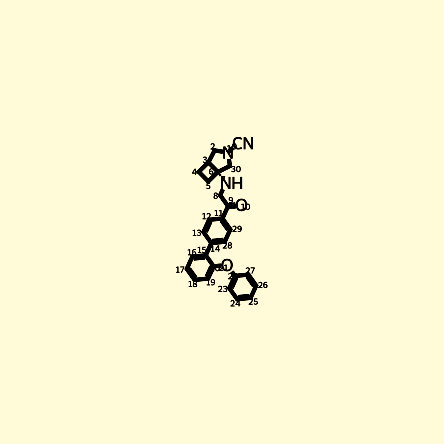 N#CN1CC2CC[C@]2(NCC(=O)c2ccc(-c3ccccc3Oc3ccccc3)cc2)C1